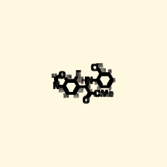 COC(=O)C(Nc1ccccc1Cl)c1ccc2ncoc2c1F